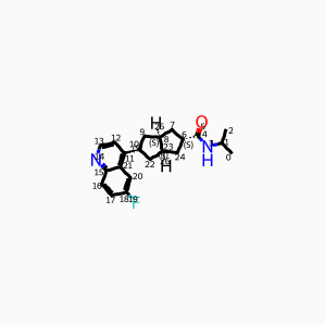 CC(C)NC(=O)[C@H]1C[C@@H]2C[C@H](c3ccnc4ccc(F)cc34)C[C@@H]2C1